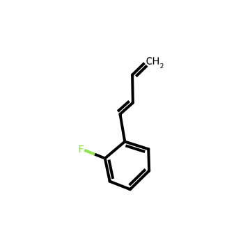 C=CC=Cc1ccccc1F